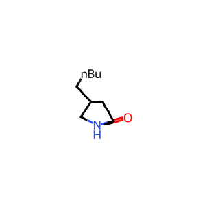 CCCCCC1CNC(=O)C1